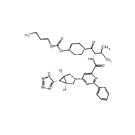 CCCCOC(=O)ON1CCN(C(=O)[C@@H](NC(=O)c2cc(N3C[C@@H]4[C@H](C3)[C@H]4c3nnn[nH]3)nc(-c3ccccc3)n2)C(C)C)CC1